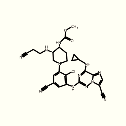 COC(=O)N[C@H]1CCN(c2cc(C#N)cc(Nc3nc(NC4CC4)c4ncc(C#N)n4n3)c2Cl)C[C@H]1NCCC#N